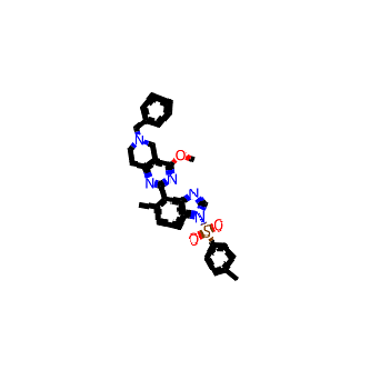 COc1nc(-c2c(C)ccc3c2ncn3S(=O)(=O)c2ccc(C)cc2)nc2c1CN(Cc1ccccc1)CC2